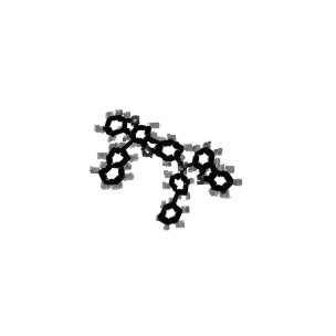 c1ccc(-c2ccc(N(c3ccc4c(c3)oc3c(-c5ccc6ccccc6c5)c5c(cc34)oc3ccccc35)c3cccc4c3sc3ccccc34)cc2)cc1